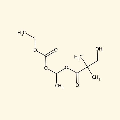 CCOC(=O)OC(C)OC(=O)C(C)(C)CO